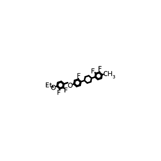 CCOc1ccc(COc2ccc(C3CCC(c4ccc(C)c(F)c4F)CC3)c(F)c2)c(F)c1F